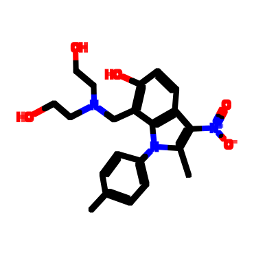 Cc1ccc(-n2c(C)c([N+](=O)[O-])c3ccc(O)c(CN(CCO)CCO)c32)cc1